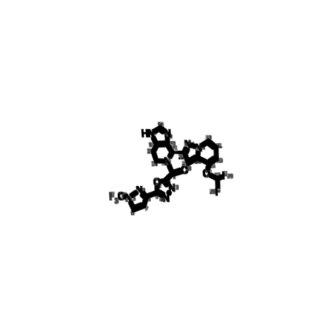 O=C(c1nnc(-c2ccn(C(F)(F)F)n2)o1)N1CCc2[nH]cnc2[C@H]1c1cc2c(OC(F)F)cccn2n1